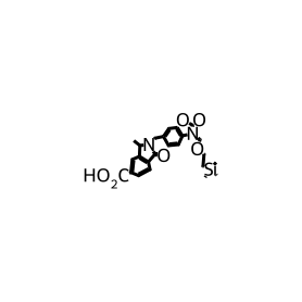 CC1c2cc(C(=O)O)ccc2C(=O)N1Cc1ccc2c(c1)oc(=O)n2COCC[Si](C)(C)C